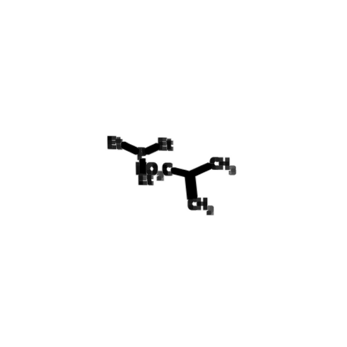 C=C(C)C(=O)O.CCP(CC)CC